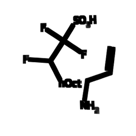 C=CCN.CCCCCCCCC(F)C(F)(F)S(=O)(=O)O